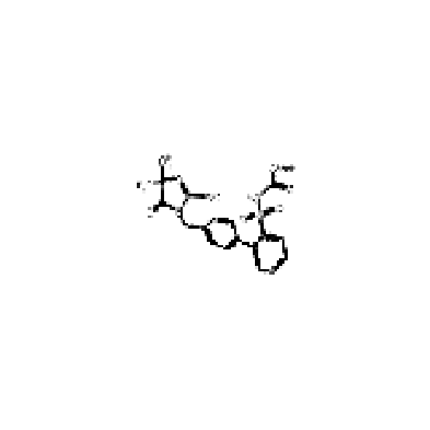 CCCCCC(=O)NS(=O)(=O)c1ccccc1-c1ccc(CN2C(=O)C(C(F)(F)F)(C(F)(F)F)N=C2CCC)cc1